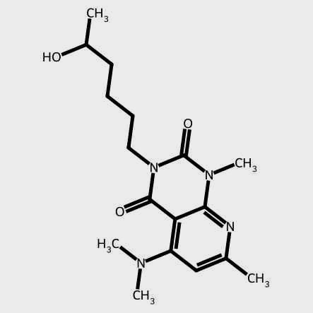 Cc1cc(N(C)C)c2c(=O)n(CCCCC(C)O)c(=O)n(C)c2n1